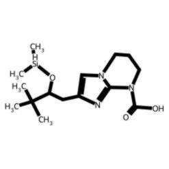 C[SiH](C)OC(Cc1cn2c(n1)N(C(=O)O)CCC2)C(C)(C)C